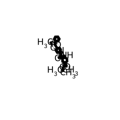 CCN(c1ccccc1)S(=O)(=O)c1ccc(-n2[nH]c3c(c2=O)CN(C(=O)OC(C)(C)C)CC3)nc1